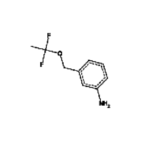 CC(F)(F)OCc1cccc(N)c1